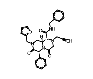 C#CCN1CC(=O)N2[C@@H](c3ccccc3)C(=O)N(Cc3ccco3)C[C@@H]2N1C(=O)NCc1ccccc1